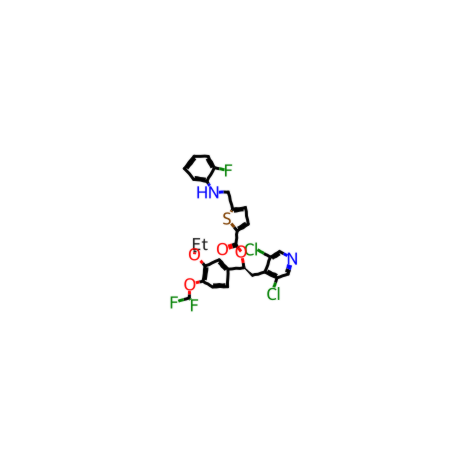 CCOc1cc([C@H](Cc2c(Cl)cncc2Cl)OC(=O)c2ccc(CNc3ccccc3F)s2)ccc1OC(F)F